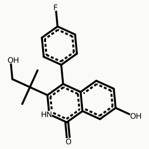 CC(C)(CO)c1[nH]c(=O)c2cc(O)ccc2c1-c1ccc(F)cc1